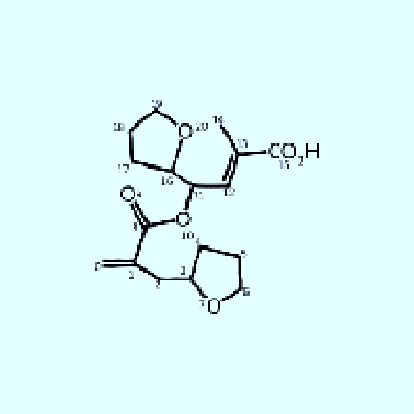 C=C(CC1CCCO1)C(=O)OC(C=C(C)C(=O)O)C1CCCO1